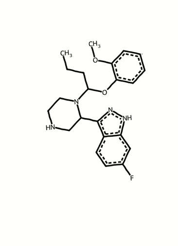 CCCC(Oc1cc[c]cc1OC)N1CCNCC1c1n[nH]c2cc(F)ccc12